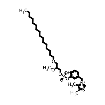 CCCCCCCCCCCCCCCCOCC(COP(=O)(O)Oc1cccc(C[n+]2csc(C)c2C)c1)OC